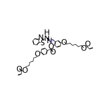 C=CC(=O)OCCCCCCOc1ccc(C(=O)Oc2ccc(OCCCCCCOC(=O)C=C)cc2/C=N/Nc2nc3ccccc3s2)cc1